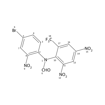 O=CN(c1ccc(Br)cc1[N+](=O)[O-])c1c([N+](=O)[O-])cc([N+](=O)[O-])cc1C(F)(F)F